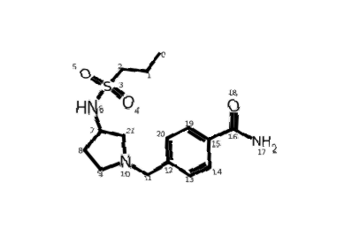 CCCS(=O)(=O)NC1CCN(Cc2ccc(C(N)=O)cc2)C1